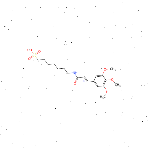 COc1cc(/C=C/C(=O)NCCCCCCCS(=O)(=O)O)cc(OC)c1OC